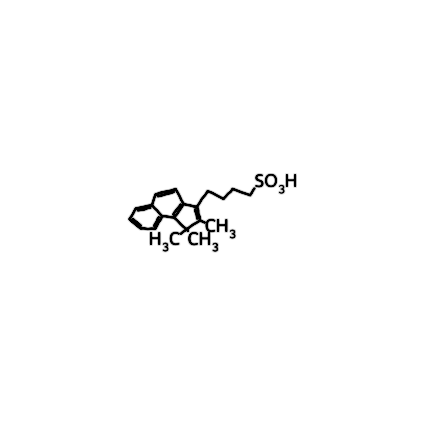 CC1=C(CCCCS(=O)(=O)O)c2ccc3ccccc3c2C1(C)C